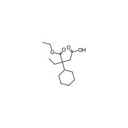 CCOC(=O)C(CC)(CC(=O)O)C1CCCCC1